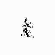 C=CCN1C(=O)N(c2cc(C(C)(C)CC)no2)C(O)C1C